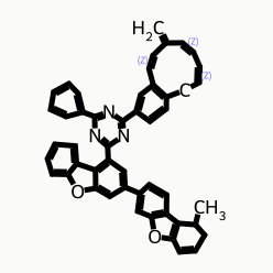 C=C1/C=C\C=C/Cc2ccc(-c3nc(-c4ccccc4)nc(-c4cc(-c5ccc6c7c(oc6c5)C=CCC7C)cc5oc6ccccc6c45)n3)cc2/C=C\1